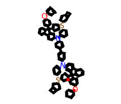 c1ccc(Oc2ccc(C3(c4ccc(Sc5ccc6c(c5)CC6)cc4)c4ccccc4-c4ccc(N(c5ccccc5)c5ccc(-c6ccc(N(c7ccccc7)c7ccc8c(c7)C(c7ccc(Oc9ccccc9)cc7)(c7ccc(Sc9ccc%10c(c9)CC%10)cc7)c7ccccc7-8)cc6)cc5)cc43)cc2)cc1